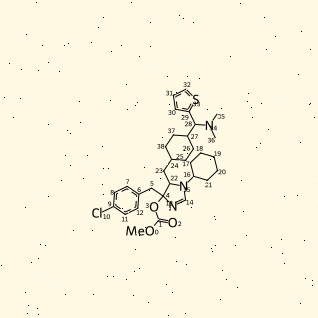 COC(=O)OC1(Cc2ccc(Cl)cc2)N=CN(C2CCCCC2)C1CC1CCC(C(c2cccs2)N(C)C)CC1